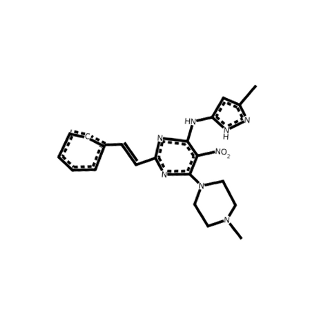 Cc1cc(Nc2nc(C=Cc3ccccc3)nc(N3CCN(C)CC3)c2[N+](=O)[O-])[nH]n1